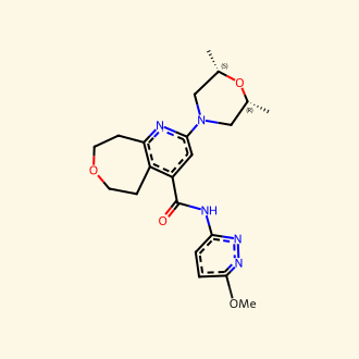 COc1ccc(NC(=O)c2cc(N3C[C@@H](C)O[C@@H](C)C3)nc3c2CCOCC3)nn1